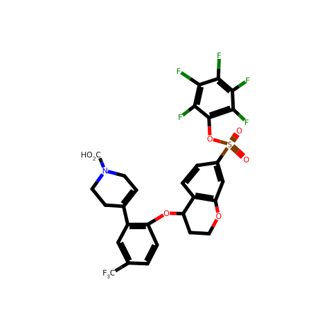 O=C(O)N1CC=C(c2cc(C(F)(F)F)ccc2OC2CCOc3cc(S(=O)(=O)Oc4c(F)c(F)c(F)c(F)c4F)ccc32)CC1